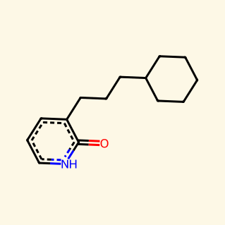 O=c1[nH]cccc1CCCC1CCCCC1